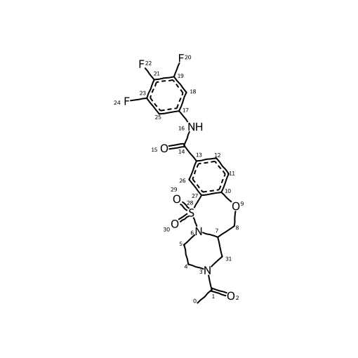 CC(=O)N1CCN2C(COc3ccc(C(=O)Nc4cc(F)c(F)c(F)c4)cc3S2(=O)=O)C1